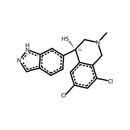 CN1Cc2c(Cl)cc(Cl)cc2[C@@](S)(c2ccc3cn[nH]c3c2)C1